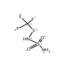 NS(=O)(=O)NSC(F)(F)F